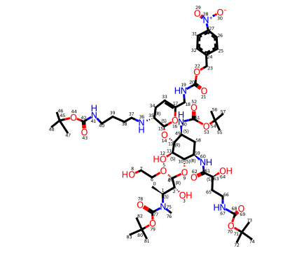 C[C@@H]([C@@H](O)[C@H](OCCO)O[C@@H]1[C@@H](O)[C@H](O[C@H]2OC(CNC(=O)OCc3ccc([N+](=O)[O-])cc3)=CC[C@H]2NCCCCNC(=O)OC(C)(C)C)[C@@H](NC(=O)OC(C)(C)C)C[C@H]1NC(=O)[C@@H](O)CCNC(=O)OC(C)(C)C)N(C)C(=O)OC(C)(C)C